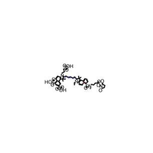 CC[N+]1=C(/C=C/C=C/C=C2/N(CCCS(=O)(=O)O)c3ccc4c(S(=O)(=O)O)cc(S(=O)(=O)O)cc4c3C2(C)C)C(C)(C)c2c1ccc1c([S+]([O-])N(C)CCCC(=O)ON3C(=O)CCC3=O)cccc21